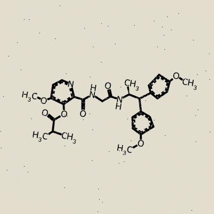 COc1ccc(C(c2ccc(OC)cc2)[C@H](C)NC(=O)CNC(=O)c2nccc(OC)c2OC(=O)C(C)C)cc1